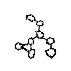 c1ccc(-c2cccc(-c3cc(-c4cccc(-c5cccnc5)c4)nc(-c4ccc5c6ccccc6c6ccccc6c5c4)n3)c2)cc1